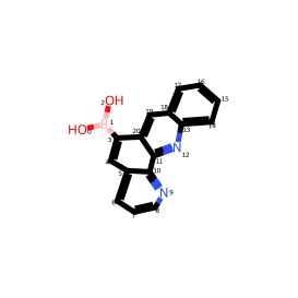 OB(O)c1cc2cccnc2c2nc3ccccc3cc12